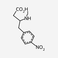 O=C(O)CC(Cc1ccc([N+](=O)[O-])cc1)NI